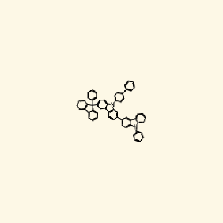 C1=CC2=C(CC1)c1ccccc1C2(c1ccccc1)c1ccc2c(c1)c1ccc(-c3ccc4c(c3)c3ccccc3n4-c3ccccc3)cc1n2-c1ccc(-c2ccccc2)cc1